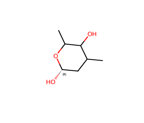 CC1C[C@H](O)OC(C)C1O